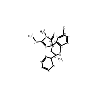 CSC1=N[C@]2(C[C@](C)(C3C=CC=CC3)Oc3ccc(Br)cc32)C(=O)N1C